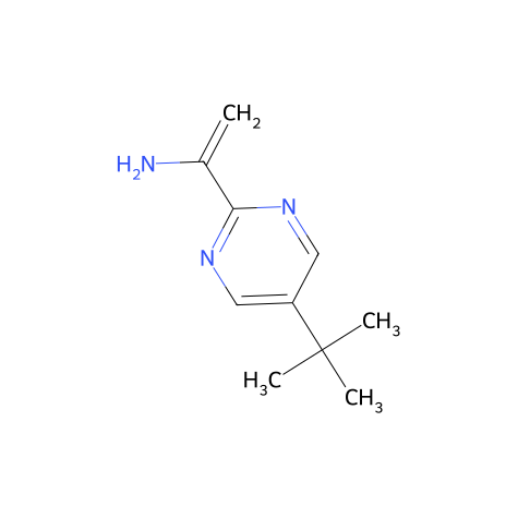 C=C(N)c1ncc(C(C)(C)C)cn1